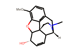 COc1ccc2c3c1OC1[C@@H](O)C=CC4[C@@H](C2)N(C)CC[C@@]341